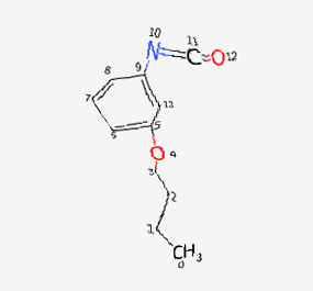 CCCCOc1cccc(N=C=O)c1